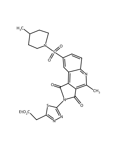 CCOC(=O)Cc1nnc(N2C(=O)c3c(C)nc4ccc(S(=O)(=O)N5CCC(C)CC5)cc4c3C2=O)s1